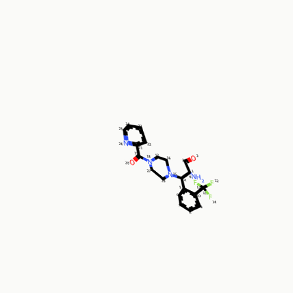 NC(C=O)C(c1ccccc1C(F)(F)F)N1CCN(C(=O)c2ccccn2)CC1